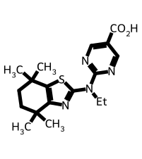 CCN(c1ncc(C(=O)O)cn1)c1nc2c(s1)C(C)(C)CCC2(C)C